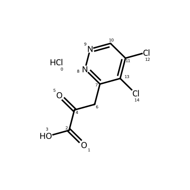 Cl.O=C(O)C(=O)Cc1nncc(Cl)c1Cl